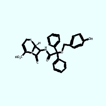 O=C(O)C1=CCS[C@H]2C(NC(=O)C(OCc3ccc(O)cc3)(c3ccccc3)c3ccccc3)C(=O)N12